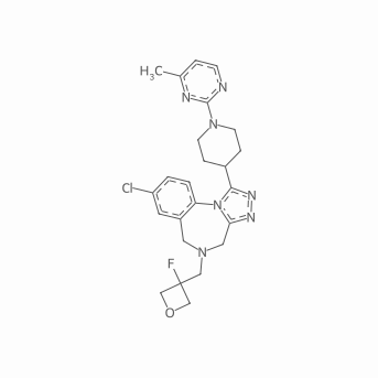 Cc1ccnc(N2CCC(c3nnc4n3-c3ccc(Cl)cc3CN(CC3(F)COC3)C4)CC2)n1